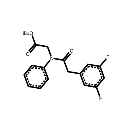 CC(C)COC(=O)CN(C(=O)Cc1cc(F)cc(F)c1)c1ccccc1